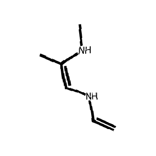 C=CN/C=C(/C)NC